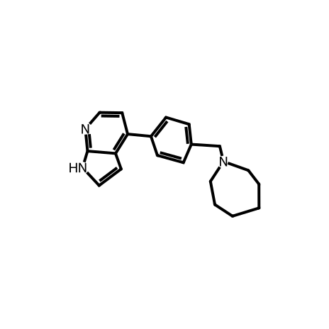 c1cc(-c2ccc(CN3CCCCCC3)cc2)c2cc[nH]c2n1